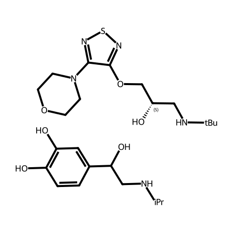 CC(C)(C)NC[C@H](O)COc1nsnc1N1CCOCC1.CC(C)NCC(O)c1ccc(O)c(O)c1